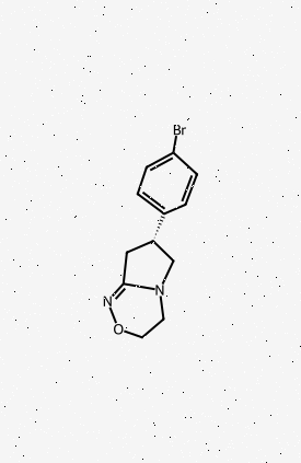 Brc1ccc([C@H]2CC3=NOCCN3C2)cc1